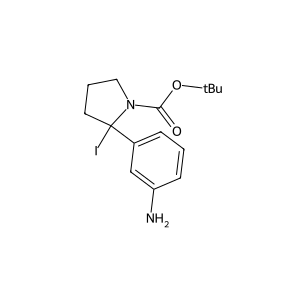 CC(C)(C)OC(=O)N1CCCC1(I)c1cccc(N)c1